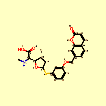 CNC(C(=O)O)[C@@H]1OC(Sc2cccc(OCc3ccc4ccc(=O)oc4c3)c2)C[C@H]1C